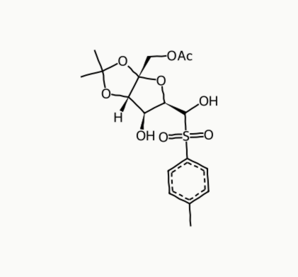 CC(=O)OC[C@@]12O[C@@H](C(O)S(=O)(=O)c3ccc(C)cc3)[C@@H](O)[C@@H]1OC(C)(C)O2